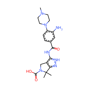 CN1CCN(c2ccc(C(=O)Nc3[nH]nc4c3CN(C(=O)O)C4(C)C)cc2N)CC1